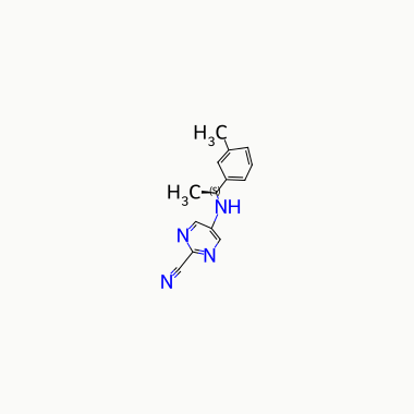 Cc1cccc([C@H](C)Nc2cnc(C#N)nc2)c1